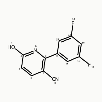 N#Cc1ccc(O)nc1-c1cc(F)cc(F)c1